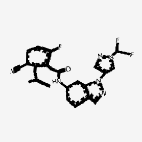 C=C(C)c1c(C#N)ccc(F)c1C(=O)Nc1ccc2cnn(-c3cnn(C(F)F)c3)c2c1